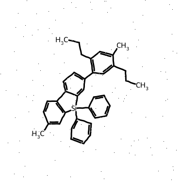 CCCc1cc(-c2ccc3c(c2)[Si](c2ccccc2)(c2ccccc2)c2cc(C)ccc2-3)c(CCC)cc1C